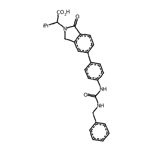 CC(C)C(C(=O)O)N1Cc2cc(-c3ccc(NC(=O)NCc4ccccc4)cc3)ccc2C1=O